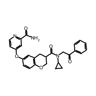 NC(=O)c1cc(Oc2ccc3c(c2)CC(C(=O)N(CC(=O)c2ccccc2)C2CC2)CO3)ccn1